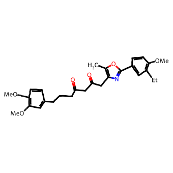 CCc1cc(-c2nc(CC(=O)CC(=O)CCCc3ccc(OC)c(OC)c3)c(C)o2)ccc1OC